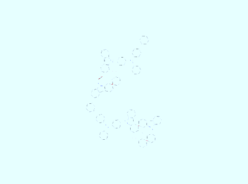 c1ccc(-c2ccc(N(c3ccccc3)c3ccc(-n4c5ccccc5c5ccc6c(c54)Oc4ccccc4C64c5ccccc5-n5c6ccc(-c7cccc(-c8ccc(N(c9ccccc9)c9ccc(-n%10c%11ccccc%11c%11cc%12c(cc%11%10)Oc%10ccccc%10C%12%10c%11ccccc%11-n%11c%12ccccc%12c%12cccc%10c%12%11)cc9)cc8)c7)cc6c6cccc4c65)cc3)cc2)cc1